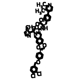 Cc1nccc(-c2ccc(C[C@H](NC(=O)[C@@H]3Cc4cc5c(cc4CN3C(=O)c3nccn3C)O[C@@H](c3ccc(OCc4ccc(Cl)c(Cl)c4)cc3)CO5)C(=O)O)cc2)c1C